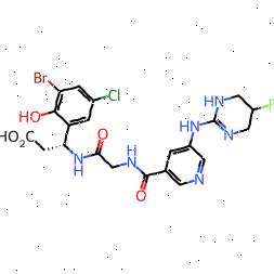 O=C(O)C[C@@H](NC(=O)CNC(=O)c1cncc(NC2=NCC(F)CN2)c1)c1cc(Cl)cc(Br)c1O